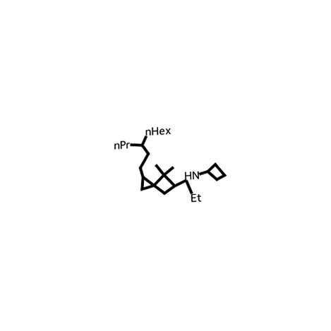 CCCCCCC(CCC)CCC1CC12CC(C(CC)NC1CCC1)C2(C)C